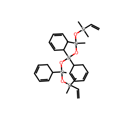 C=C[Si](C)(C)O[Si](C)(C)O[Si](O[Si](C)(O[Si](C)(C)C=C)C1C=CC=CC1)(C1C=CC=CC1)C1C=CC=CC1